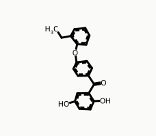 CCc1ccccc1Oc1ccc(C(=O)c2cc(O)ccc2O)cc1